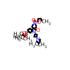 C[C@H]1CC[C@@H](C(=O)N2CCC3(CC2)C(=O)N(C2CC(N4CCC(C)(C)C4)C2)c2cc(B4OC(C)(C)C(C)(C)O4)ccc23)O1